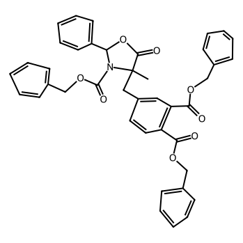 CC1(Cc2ccc(C(=O)OCc3ccccc3)c(C(=O)OCc3ccccc3)c2)C(=O)OC(c2ccccc2)N1C(=O)OCc1ccccc1